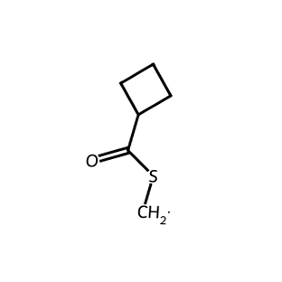 [CH2]SC(=O)C1CCC1